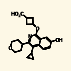 O=C(O)C1CC(Oc2nc(C3CCOCC3)c(C3CC3)c3ccc(O)cc23)C1